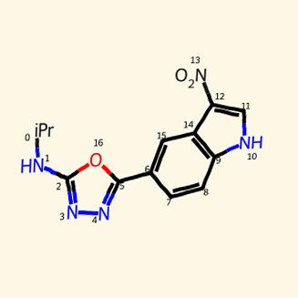 CC(C)Nc1nnc(-c2ccc3[nH]cc([N+](=O)[O-])c3c2)o1